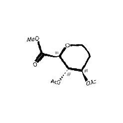 COC(=O)[C@H]1OCC[C@@H](OC(C)=O)[C@@H]1OC(C)=O